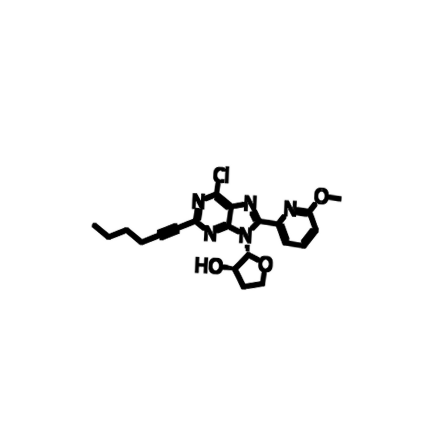 CCCCC#Cc1nc(Cl)c2nc(-c3cccc(OC)n3)n([C@@H]3OCC[C@H]3O)c2n1